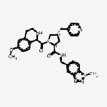 COc1ccc2c(c1)CCNC2C(=O)N1C[C@H](Cc2ccncc2)C[C@H]1C(=O)NCc1ccc2c(c1)nnn2C